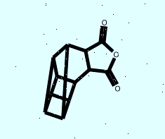 O=C1OC(=O)C2C1C1C3C4C2C2C1C3C42